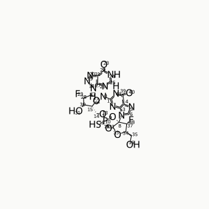 Nc1nc2c(ncn2[C@]2(OP(=O)(S)OC[C@H]3O[C@@H](n4nnc5c(=O)[nH]cnc54)[C@@H](F)[C@@H]3O)CO[C@H](CO)[C@@H]2F)c(=O)[nH]1